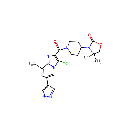 CC1(C)COC(=O)N1C1CCN(C(=O)c2nc3c(C(F)(F)F)cc(-c4cn[nH]c4)cn3c2Cl)CC1